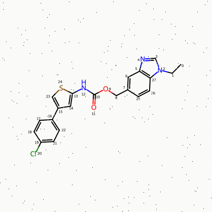 CCn1cnc2cc(COC(=O)Nc3cc(-c4ccc(Cl)cc4)cs3)ccc21